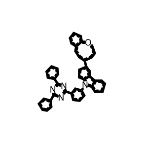 c1ccc(-c2nc(-c3ccccc3)nc(-c3cccc(-n4c5ccccc5c5cc(-c6cccoc7ccccc7cc6)ccc54)c3)n2)cc1